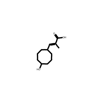 C/C(=C\C1CCCC(O)CCC1)C(=O)O